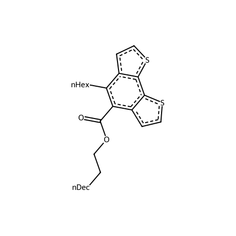 CCCCCCCCCCCCOC(=O)c1c(CCCCCC)c2ccsc2c2sccc12